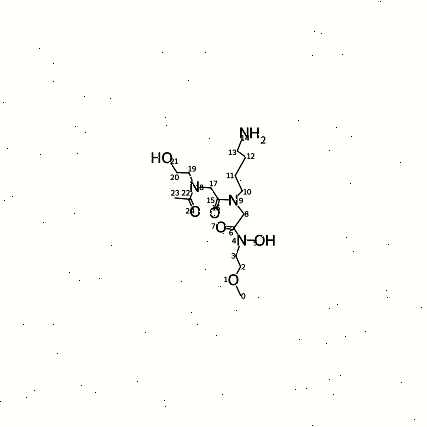 COCCN(O)C(=O)CN(CCCCN)C(=O)CN(CCO)C(C)=O